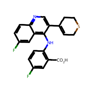 O=C(O)c1cc(F)ccc1Nc1c(C2=CCSCC2)cnc2ccc(F)cc12